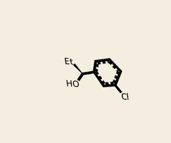 CC[C@H](O)c1cccc(Cl)c1